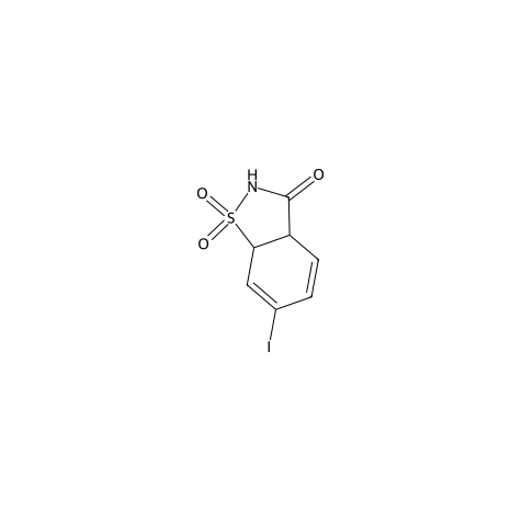 O=C1NS(=O)(=O)C2C=C(I)C=CC12